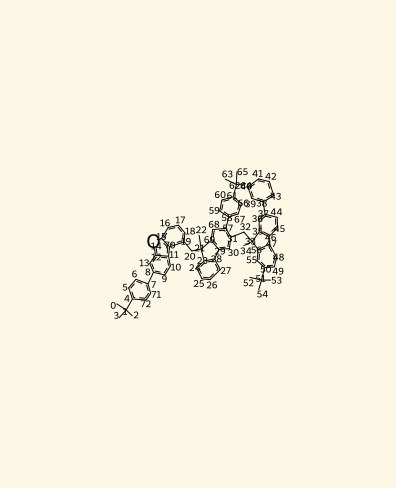 CC(C)(C)c1ccc(-c2ccc3c(c2)oc2cccc(CC4(C)c5ccccc5-c5cc(CC6(C)c7cc(-c8ccccc8)ccc7-c7ccc(C(C)(C)C)cc76)c(-c6ccc(C(C)(C)C)cc6)cc54)c23)cc1